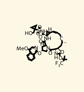 COc1cnc(O[C@@H]2C[C@H]3C(=O)N[C@]4(C(=O)NS(=O)(=O)C5(CO)CC5)C[C@H]4/C=C\CC[C@H](C)C[C@@H](C)[C@H](NC(=O)OC(C)(C)C(F)(F)F)C(=O)N3C2)c2ccccc12